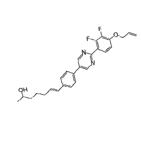 C=CCOc1ccc(-c2ncc(-c3ccc(C=CCCCC(C)O)cc3)cn2)c(F)c1F